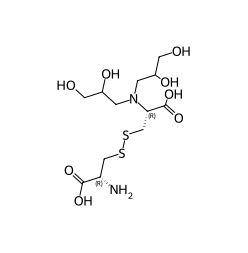 N[C@@H](CSSC[C@@H](C(=O)O)N(CC(O)CO)CC(O)CO)C(=O)O